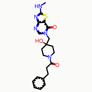 CNc1nc2ncn(CC3(O)CCN(C(=O)CCc4ccccc4)CC3)c(=O)c2s1